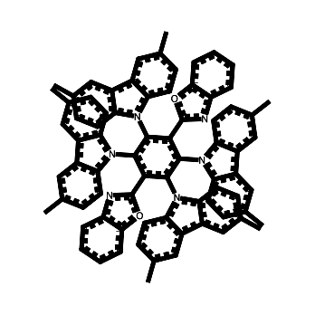 Cc1ccc2c(c1)c1cc(C)ccc1n2-c1c(-c2nc3ccccc3o2)c(-n2c3ccc(C)cc3c3cc(C)ccc32)c(-n2c3ccc(C)cc3c3cc(C)ccc32)c(-c2nc3ccccc3o2)c1-n1c2ccc(C)cc2c2cc(C)ccc21